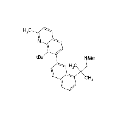 CNCC(C)(C)c1cccc2ccc(-c3ccc4ccc(C)nc4c3C(C)(C)C)cc12